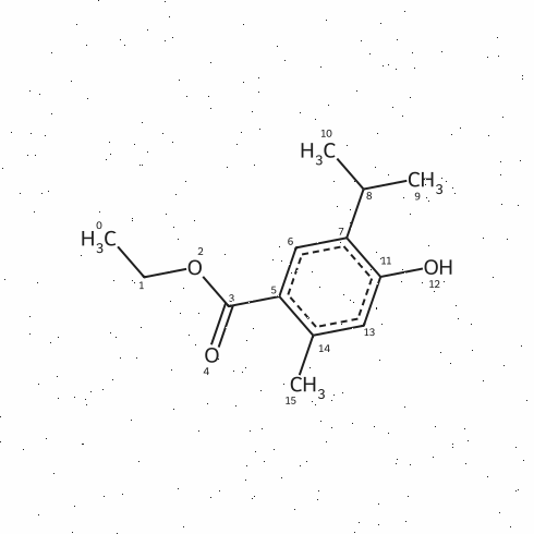 CCOC(=O)c1cc(C(C)C)c(O)cc1C